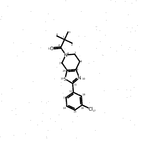 CC(C)(C)C(=O)N1CCc2nc(-c3cccc(Cl)c3)sc2C1